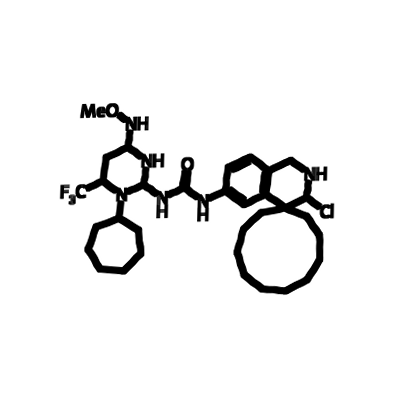 CONC1CC(C(F)(F)F)N(C2CCCCCC2)C(NC(=O)Nc2ccc3c(c2)C2(CCCCCCCCCC2)C(Cl)NC3)N1